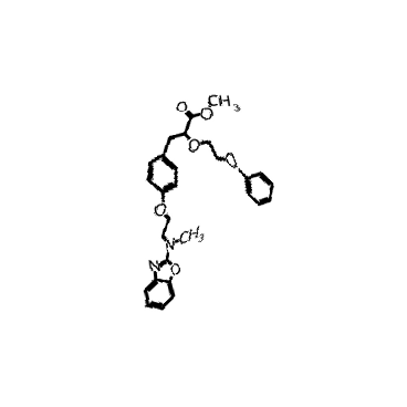 COC(=O)C(Cc1ccc(OCCN(C)c2nc3ccccc3o2)cc1)OCCOc1ccccc1